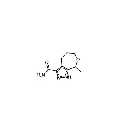 CC1OCCCc2c(C(N)=O)n[nH]c21